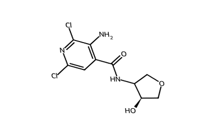 Nc1c(C(=O)NC2COC[C@H]2O)cc(Cl)nc1Cl